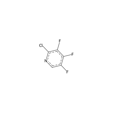 Fc1cnc(Cl)c(F)c1F